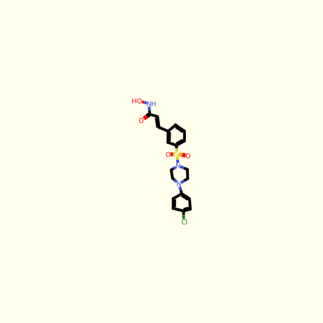 O=C(/C=C/c1cccc(S(=O)(=O)N2CCN(c3ccc(Cl)cc3)CC2)c1)NO